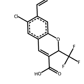 C=Cc1cc2c(cc1Cl)C=C(C(=O)O)C(C(F)(F)F)O2